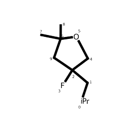 CC(C)CC1(F)COC(C)(C)C1